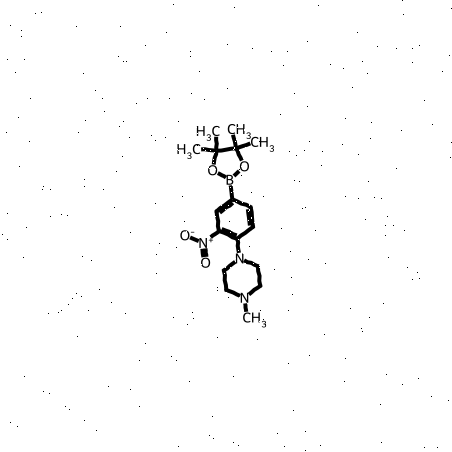 CN1CCN(c2ccc(B3OC(C)(C)C(C)(C)O3)cc2[N+](=O)[O-])CC1